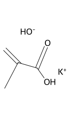 C=C(C)C(=O)O.[K+].[OH-]